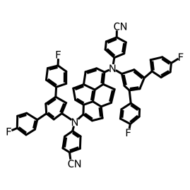 N#Cc1ccc(N(c2cc(-c3ccc(F)cc3)cc(-c3ccc(F)cc3)c2)c2ccc3ccc4c(N(c5ccc(C#N)cc5)c5cc(-c6ccc(F)cc6)cc(-c6ccc(F)cc6)c5)ccc5ccc2c3c54)cc1